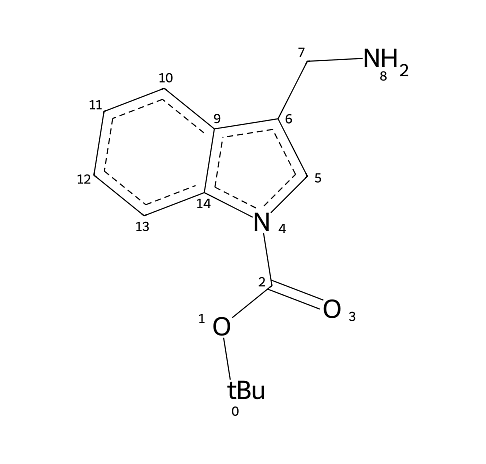 CC(C)(C)OC(=O)n1cc(CN)c2ccccc21